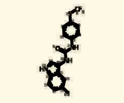 O=C(Nc1ccc(SC(F)(F)F)cc1)Nc1c[nH]c2ccc(I)cc12